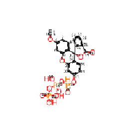 CCOc1ccc2c(c1)Oc1cc(O[PH](=O)OP(=O)(O)OP(=O)(O)O)ccc1C21OC(=O)c2ccccc21